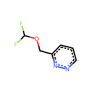 FC(F)OCc1cc[c]nn1